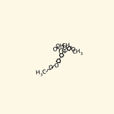 CCCCOCCOc1ccc(-c2ccc3c(c2)C=C(C(=O)O)CCN3Cc2cc(OC)ccc2OC)cc1